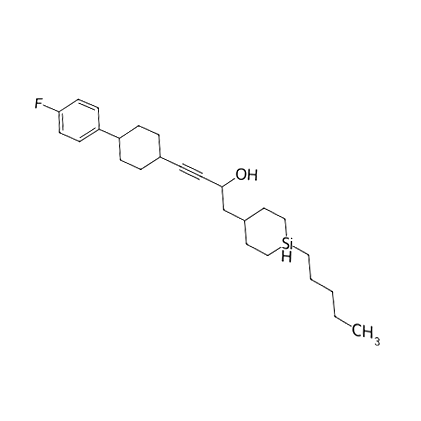 CCCCC[SiH]1CCC(CC(O)C#CC2CCC(c3ccc(F)cc3)CC2)CC1